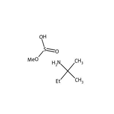 CCC(C)(C)N.COS(=O)O